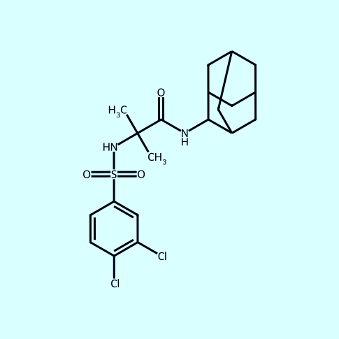 CC(C)(NS(=O)(=O)c1ccc(Cl)c(Cl)c1)C(=O)NC1C2CC3CC(C2)CC1C3